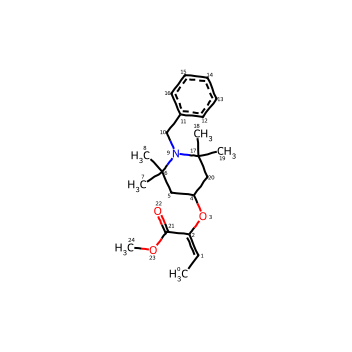 CC=C(OC1CC(C)(C)N(Cc2ccccc2)C(C)(C)C1)C(=O)OC